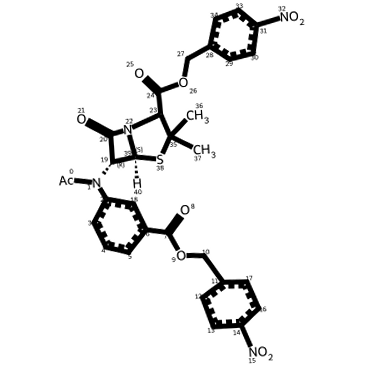 CC(=O)N(c1cccc(C(=O)OCc2ccc([N+](=O)[O-])cc2)c1)[C@@H]1C(=O)N2C(C(=O)OCc3ccc([N+](=O)[O-])cc3)C(C)(C)S[C@@H]12